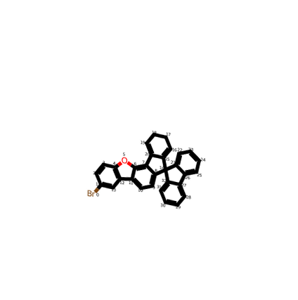 Brc1ccc2oc3c4c(ccc3c2c1)C1(C2=CCCC=C24)c2ccccc2-c2ccccc21